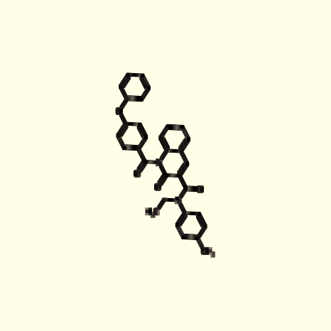 CCN(C(=O)c1cc2ccccc2n(C(=O)c2ccc(Oc3ccccc3)cc2)c1=O)c1ccc(C)cc1